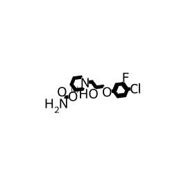 NC(=O)O[C@@H]1CCCN(CC(O)COc2ccc(Cl)c(F)c2)C1